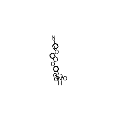 N#Cc1ccc(Oc2cccc3c2CC[C@H]3Oc2ccc(C3CC(=O)NS3(=O)=O)cc2)nc1